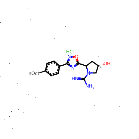 CCCCCCCCc1ccc(-c2noc(C3C[C@H](O)CN3C(=N)N)n2)cc1.Cl